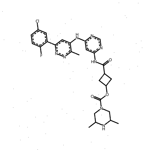 Cc1nnc(-c2cc(Cl)ccc2F)cc1Nc1cc(NC(=O)C2CC(OC(=O)N3CC(C)NC(C)C3)C2)ncn1